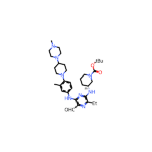 CCc1nc(C=O)c(Nc2ccc(N3CCC(N4CCN(C)CC4)CC3)c(C)c2)nc1N[C@@H]1CCCN(C(=O)OC(C)(C)C)C1